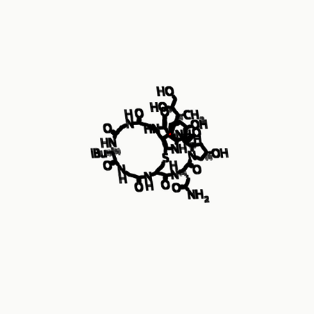 CC[C@H](C)[C@@H]1NC(=O)CNC(=O)C2Cc3c([nH]c4cc(O)ccc34)SCC(NC(=O)CNC1=O)C(=O)N[C@@H](CC(N)=O)C(=O)N1C[C@H](O)C[C@H]1C(=O)N[C@@H]([C@@H](C)[C@@H](O)CO)C(=O)N2